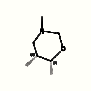 C[C@@H]1CN(C)CO[C@@H]1C